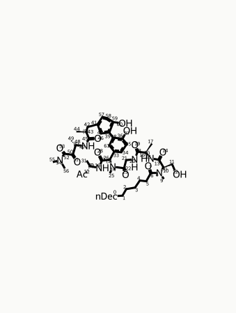 CCCCCCCCCCCCCCCC(=O)N(C)[C@H](CO)C(=O)N[C@H](C)C(=O)NCC(=O)N(C)[C@H](C(=O)N[C@@H](C)C(C)=O)c1ccc(O)c(-c2cc(C[C@H](C)C(=O)N[C@@H](C)C(=O)C(=O)N(C)C)ccc2O)c1